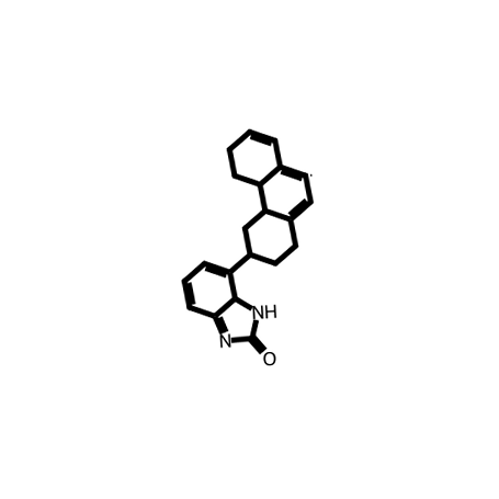 O=C1N=C2C=CC=C(C3CCC4=C[C]=C5C=CCCC5C4C3)C2N1